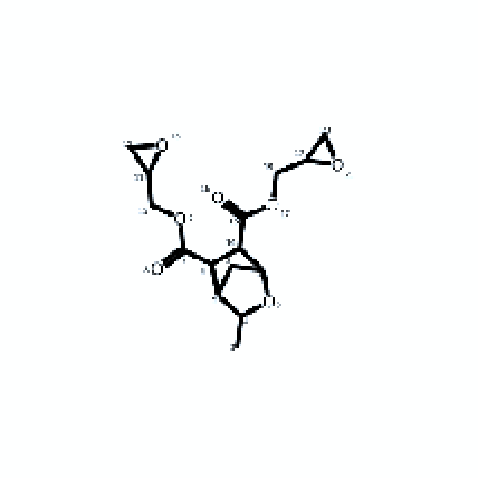 CC1OC2CC1C(C(=O)OCC1CO1)C2C(=O)OCC1CO1